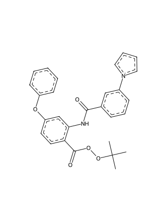 CC(C)(C)OOC(=O)c1ccc(Oc2ccccc2)cc1NC(=O)c1cccc(-n2cccc2)c1